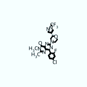 Cc1nc2c(-c3ccc(Cl)cc3F)nc(N3CCO[C@@H](c4cnn(C(F)(F)F)c4)C3)nc2c(=O)n1C